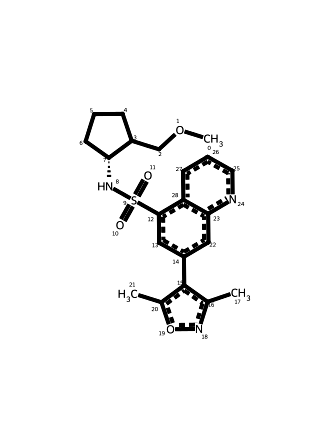 COCC1CCC[C@H]1NS(=O)(=O)c1cc(-c2c(C)noc2C)cc2ncccc12